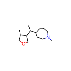 C[C@@H](C1CCCN(C)CC1)C1COC[C@H]1C